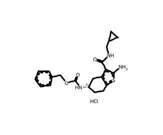 Cl.Nc1sc2c(c1C(=O)NCC1CC1)C[C@@H](NC(=O)OCc1ccccc1)CC2